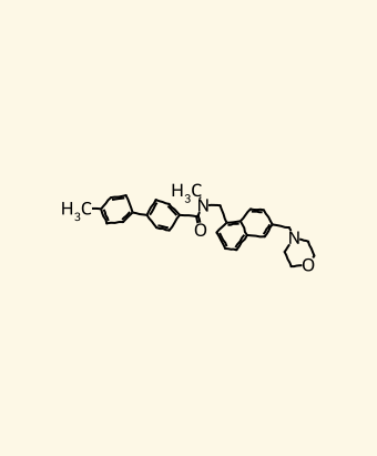 Cc1ccc(-c2ccc(C(=O)N(C)Cc3cccc4cc(CN5CCOCC5)ccc34)cc2)cc1